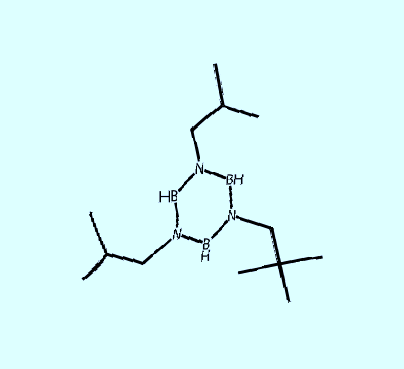 CC(C)CN1BN(CC(C)C)BN(CC(C)(C)C)B1